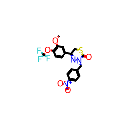 COc1cc(C2=NN(Cc3ccc([N+](=O)[O-])cc3)C(=O)SC2)ccc1OC(F)(F)F